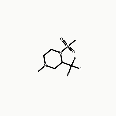 CN1CCN(S(C)(=O)=O)C(C(F)(F)F)C1